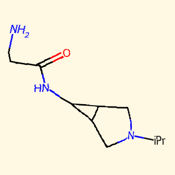 CC(C)N1CC2C(C1)C2NC(=O)CN